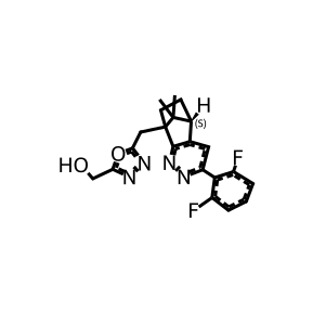 CC1(C)[C@@H]2CCC1(Cc1nnc(CO)o1)c1nnc(-c3c(F)cccc3F)cc12